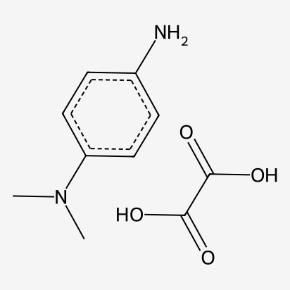 CN(C)c1ccc(N)cc1.O=C(O)C(=O)O